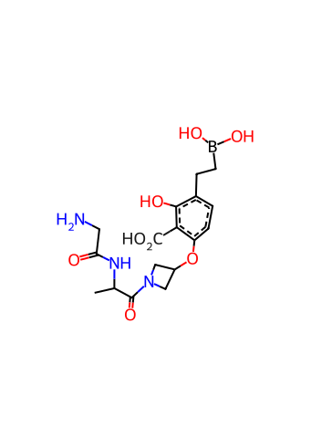 CC(NC(=O)CN)C(=O)N1CC(Oc2ccc(CCB(O)O)c(O)c2C(=O)O)C1